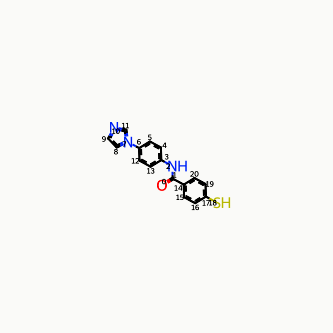 O=C(Nc1ccc(-n2ccnc2)cc1)c1ccc(S)cc1